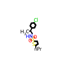 CCCc1ccc(S(=O)(=O)NCC(C)c2ccc(Cl)cc2)s1